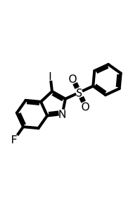 O=S(=O)(C1=C(I)C2=CC=C(F)CC2=N1)c1ccccc1